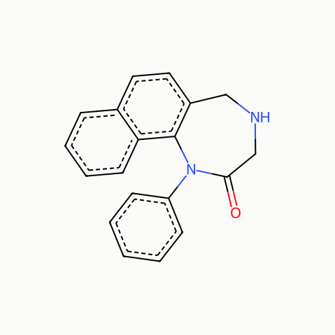 O=C1CNCc2ccc3ccccc3c2N1c1ccccc1